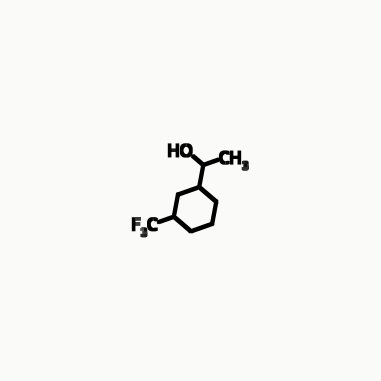 CC(O)C1CCCC(C(F)(F)F)C1